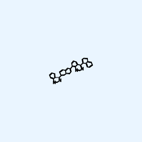 c1ccc2c(-c3ncnc4c(-c5ccc6cc(-c7ncnc8ccccc78)ccc6c5)cccc34)cccc2c1